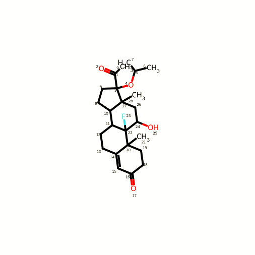 CC(=O)C1(OC(C)C)CCC2C3CCC4=CC(=O)CCC4(C)C3(F)C(O)CC21C